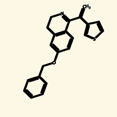 C=C(C1=NCCc2cc(OCc3ccccc3)ccc21)c1ccsc1